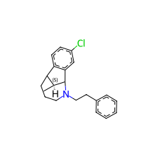 C[C@H]1C2CCCN(CCc3ccccc3)C1c1cc(Cl)ccc12